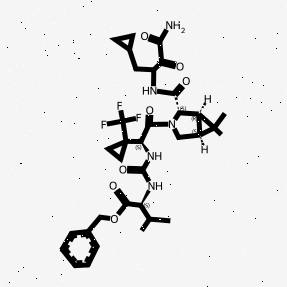 CC(C)[C@H](NC(=O)N[C@H](C(=O)N1C[C@H]2[C@@H]([C@H]1C(=O)NC(CC1CC1)C(=O)C(N)=O)C2(C)C)C1(C(F)(F)F)CC1)C(=O)OCc1ccccc1